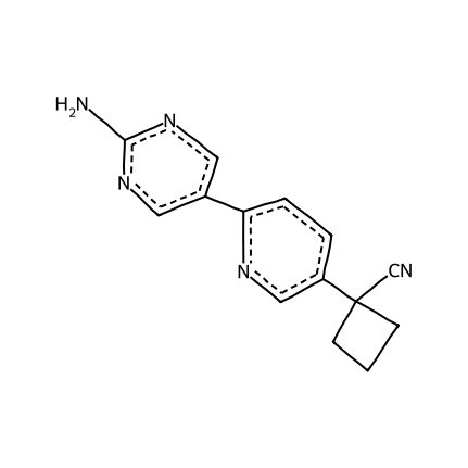 N#CC1(c2ccc(-c3cnc(N)nc3)nc2)CCC1